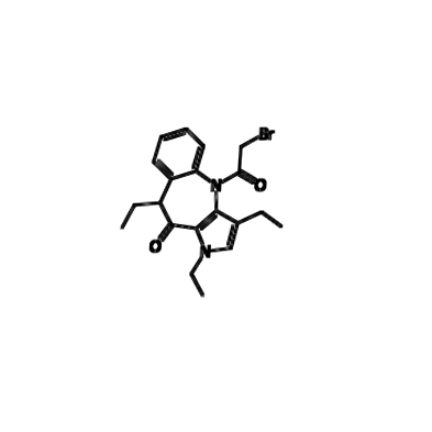 CCc1cn(CC)c2c1N(C(=O)CBr)c1ccccc1C(CC)C2=O